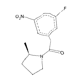 C[C@@H]1CCCN1C(=O)c1cc(F)cc([N+](=O)[O-])c1